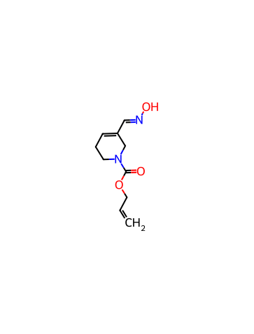 C=CCOC(=O)N1CCC=C(/C=N/O)C1